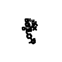 Cc1ccsc1-c1ccc(CNC(=O)[C@@H]2C[C@@H](O)CN2C(=O)[C@@H](NC(C)C)C(C)(C)C)cc1